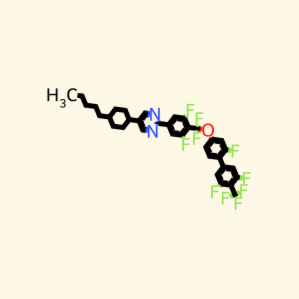 CCCCCC1CCC(c2cnc(-c3cc(F)c(C(F)(F)Oc4ccc(-c5cc(F)c(C(F)(F)F)c(F)c5)c(F)c4)c(F)c3)nc2)CC1